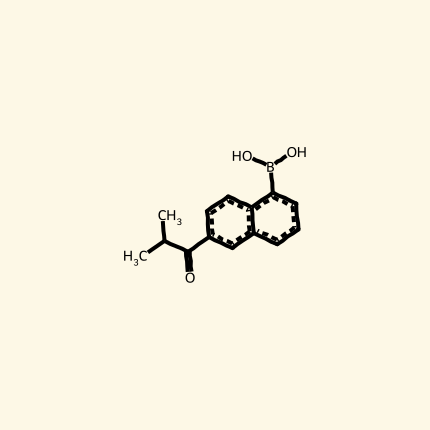 CC(C)C(=O)c1ccc2c(B(O)O)cccc2c1